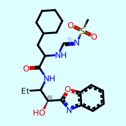 CCC(NC(=O)C(CC1CCCCC1)N/C=N/S(C)(=O)=O)[C@H](O)c1nc2ccccc2o1